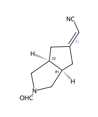 N#C/C=C1\C[C@@H]2CN([C]=O)C[C@@H]2C1